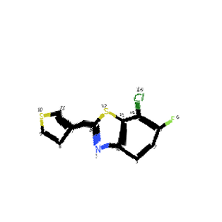 Fc1ccc2nc(-c3ccsc3)sc2c1Cl